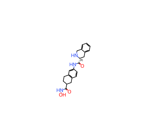 O=C(NO)C1CCc2cc(NC(=O)[C@H]3Cc4ccccc4CN3)ccc2C1